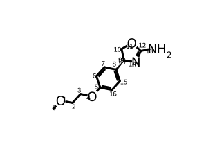 COCCOc1ccc([C@H]2COC(N)=N2)cc1